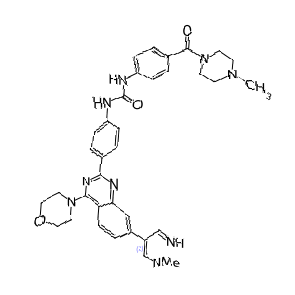 CN/C=C(\C=N)c1ccc2c(N3CCOCC3)nc(-c3ccc(NC(=O)Nc4ccc(C(=O)N5CCN(C)CC5)cc4)cc3)nc2c1